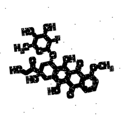 COc1cccc2c1C(=O)c1c(O)c3c(c(O)c1C2=O)C[C@@](O)(C(=O)CO)C[C@@H]3O[C@@H]1O[C@@H](C)[C@@H](O)[C@@H](O)[C@H]1F